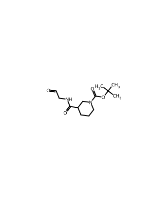 CC(C)(C)OC(=O)N1CCCC(C(=O)NCC=O)C1